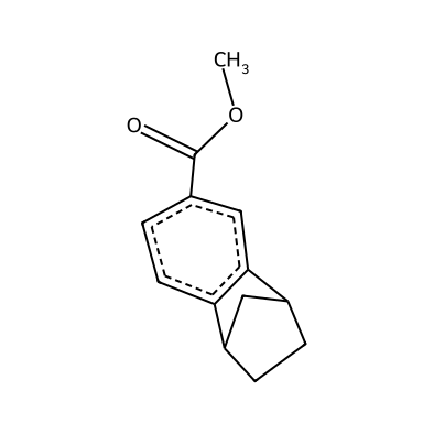 COC(=O)c1ccc2c(c1)C1CCC2C1